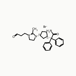 CC1=[N+](CCC=O)CCN1[C@@H]1CC[C@H](C(C(N)=O)(c2ccccc2)c2ccccc2)C1.[Br-]